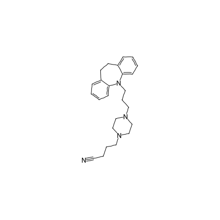 N#CCCCN1CCN(CCCN2c3ccccc3CCc3ccccc32)CC1